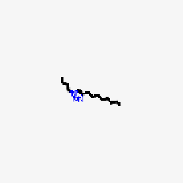 CCCCCCCCc1cn(CCCC)nn1